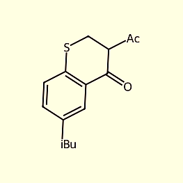 CCC(C)c1ccc2c(c1)C(=O)C(C(C)=O)CS2